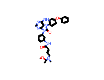 COC(C)N(C)CC=CC(=O)Nc1cccc(-n2c(=O)n(-c3ccc(Oc4ccccc4)cc3)c3c(N)ncnc32)c1